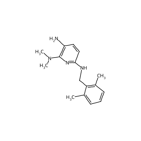 Cc1cccc(C)c1CNc1ccc(N)c(N(C)C)n1